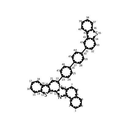 c1ccc2c(c1)ccc1c2nc2c3sc4ccccc4c3cc(-c3ccc(-c4ccc(-c5ccc6sc7ccccc7c6c5)cc4)cc3)n12